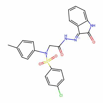 Cc1ccc(N(CC(=O)N/N=C2/C(=O)Nc3ccccc32)S(=O)(=O)c2ccc(Cl)cc2)cc1